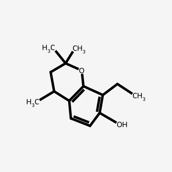 CCc1c(O)ccc2c1OC(C)(C)CC2C